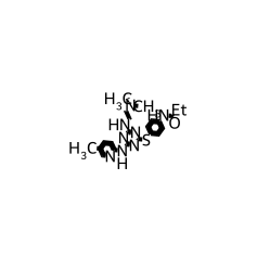 CCC(=O)Nc1ccc(Sc2nc(NCCN(C)C)nc(Nc3ccc(C)cn3)n2)cc1